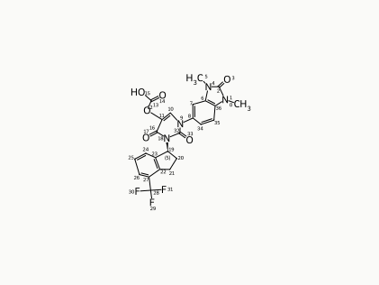 Cn1c(=O)n(C)c2cc(-n3cc(OC(=O)O)c(=O)n([C@H]4CCc5c4cccc5C(F)(F)F)c3=O)ccc21